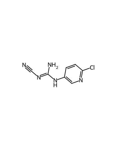 N#C/N=C(\N)Nc1ccc(Cl)nc1